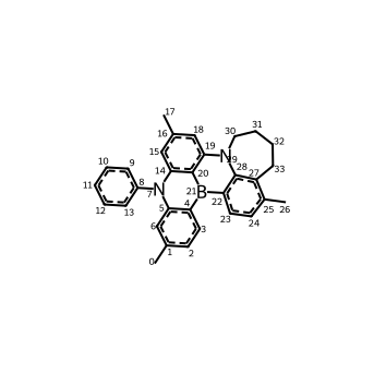 Cc1ccc2c(c1)N(c1ccccc1)c1cc(C)cc3c1B2c1ccc(C)c2c1N3CCCC2